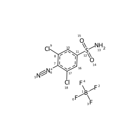 F[B-](F)(F)F.N#[N+]c1c(Cl)cc(S(N)(=O)=O)cc1Cl